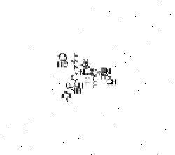 O=C(Nc1cccnc1)NC1CCN(c2nc(N[C@H](CO)Cc3ccccc3)c3ncn([C@@H]4C[C@H](n5nnc(CO)n5)[C@@H](O)[C@H]4O)c3n2)C1